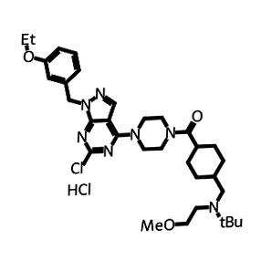 CCOc1cccc(Cn2ncc3c(N4CCN(C(=O)C5CCC(CN(CCOC)C(C)(C)C)CC5)CC4)nc(Cl)nc32)c1.Cl